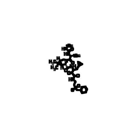 CC(C)(C)NC(=O)N[C@H](C(=O)N1C[C@H]2[C@@H]([C@H]1C(=O)NC(CC1CC1)C(=O)C(=O)NCCS(=O)(=O)Cc1ccccc1)C2(C)C)C(C)(C)C